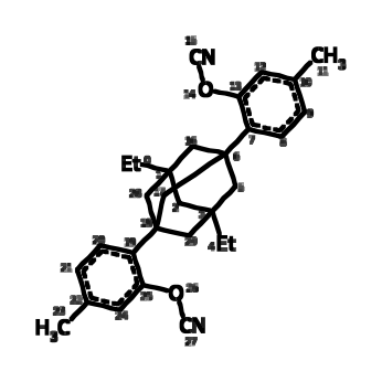 CCC12CC3(CC)CC(c4ccc(C)cc4OC#N)(C1)CC(c1ccc(C)cc1OC#N)(C2)C3